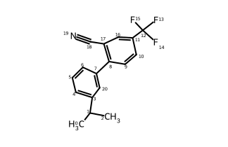 CC(C)c1cccc(-c2ccc(C(F)(F)F)cc2C#N)c1